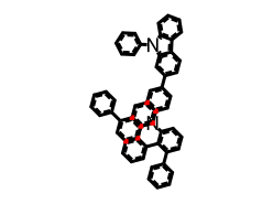 c1ccc(-c2cccc(N(c3ccc(-c4ccc5c6ccccc6n(-c6ccccc6)c5c4)cc3)c3cccc(-c4ccccc4)c3-c3ccccc3-c3ccccc3)c2)cc1